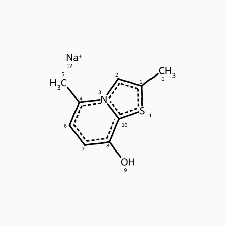 Cc1c[n+]2c(C)ccc(O)c2s1.[Na+]